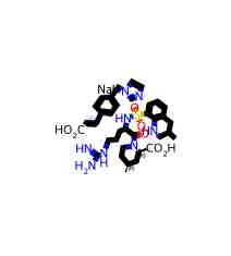 CC1CNc2c(cccc2S(=O)(=O)NC(CCCNC(=N)N)C(=O)N2CC[C@@H](C)C[C@@H]2C(=O)O)C1.O=C(O)/C=C/c1ccc(Cn2ccnc2)cc1.[NaH]